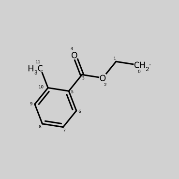 [CH2]COC(=O)c1ccccc1C